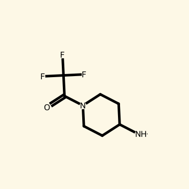 [NH]C1CCN(C(=O)C(F)(F)F)CC1